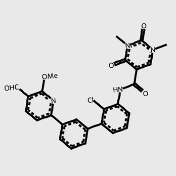 COc1nc(-c2cccc(-c3cccc(NC(=O)c4cn(C)c(=O)n(C)c4=O)c3Cl)c2)ccc1C=O